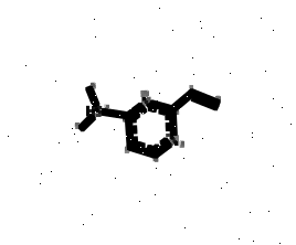 C=Cc1nccc([SH](C)C)n1